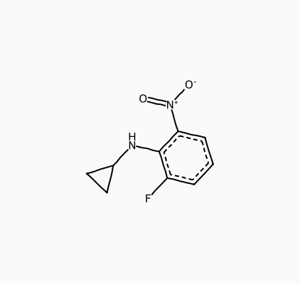 O=[N+]([O-])c1cccc(F)c1NC1CC1